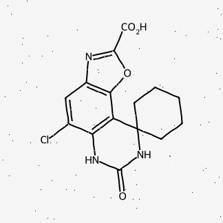 O=C1Nc2c(Cl)cc3nc(C(=O)O)oc3c2C2(CCCCC2)N1